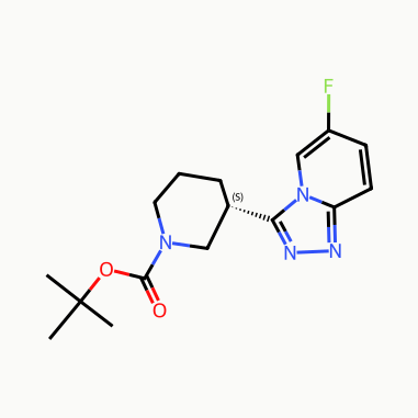 CC(C)(C)OC(=O)N1CCC[C@H](c2nnc3ccc(F)cn23)C1